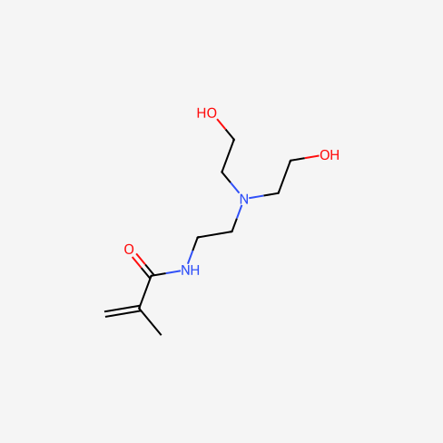 C=C(C)C(=O)NCCN(CCO)CCO